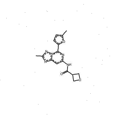 Cc1nc2cc(NC(=O)C3COC3)nc(-c3ccc(C)o3)n2n1